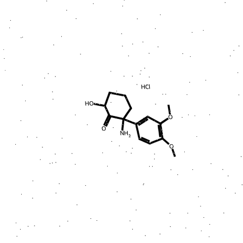 COc1ccc(C2(N)CCCC(O)C2=O)cc1OC.Cl